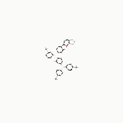 CC(C)(C)c1ccc(N(c2ccc(C(C)(C)C)cc2)c2cc3c4c(c2)Oc2c(ccc5c2oc2c6c(ccc25)CCC6)B4c2cc(C(C)(C)C)ccc2O3)cc1